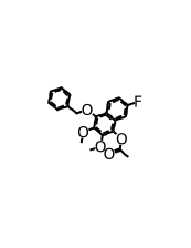 COc1c(OC)c(OC(C)=O)c2cc(F)ccc2c1OCc1ccccc1